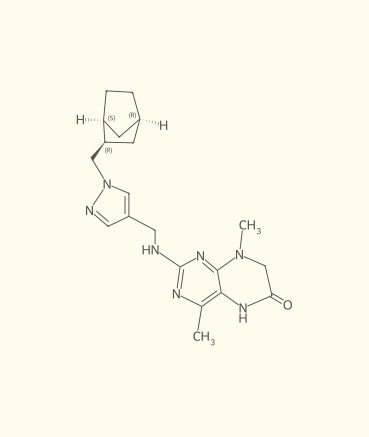 Cc1nc(NCc2cnn(C[C@@H]3C[C@@H]4CC[C@H]3C4)c2)nc2c1NC(=O)CN2C